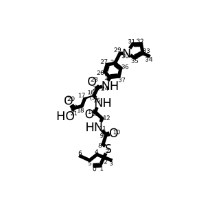 C=CC(C)(CCC)SCC(=O)NCC(=O)N[C@@H](CCC(=O)O)C(=O)Nc1ccc(Cn2ccc(C)c2)cc1